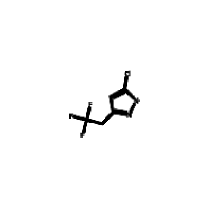 FC(F)(F)CC1=N[N]C(Cl)=C1